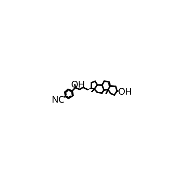 CC12CCC(O)CC1=CCC1C2CCC2(C)C1CC[C@@H]2CCCC(O)c1ccc(C#N)cc1